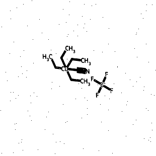 C[CH2][Cu]([C]#N)([CH2]C)([CH2]C)[CH2]C.F[B-](F)(F)F